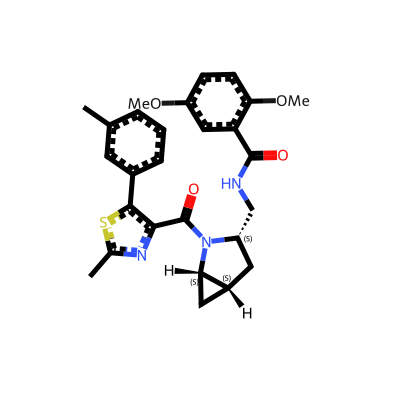 COc1ccc(OC)c(C(=O)NC[C@@H]2C[C@@H]3C[C@@H]3N2C(=O)c2nc(C)sc2-c2cccc(C)c2)c1